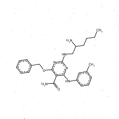 CCCCC(N)CNc1nc(Nc2cccc(C)c2)c(C(N)=O)c(OCc2ccccc2)n1